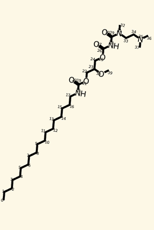 CCCCCCCCCCCCCCCCCCNC(=O)OCC(COC(=O)NC(=O)N(C)CCN(C)C)OC